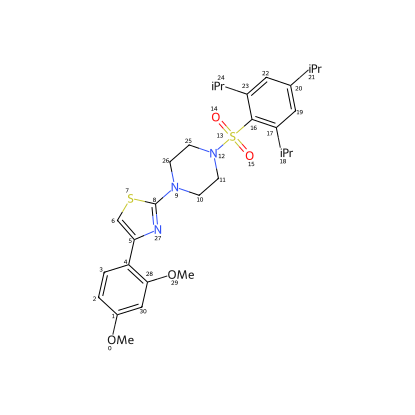 COc1ccc(-c2csc(N3CCN(S(=O)(=O)c4c(C(C)C)cc(C(C)C)cc4C(C)C)CC3)n2)c(OC)c1